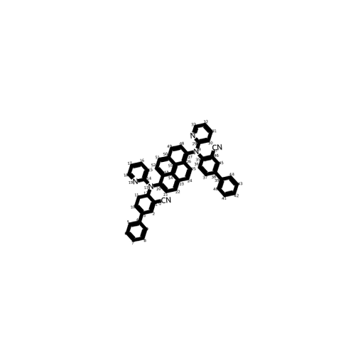 N#CC1=CC(c2ccccc2)=CCC1N(c1ccccn1)c1ccc2ccc3c(N(c4ccccn4)c4ccc(-c5ccccc5)cc4C#N)ccc4ccc1c2c43